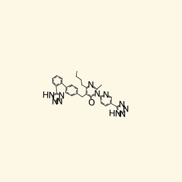 CCCCc1nc(C)n(-c2ccc(-c3nnn[nH]3)cn2)c(=O)c1Cc1ccc(-c2ccccc2-c2nnn[nH]2)cc1